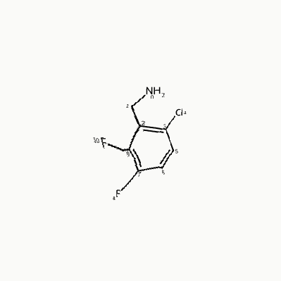 NCc1c(Cl)ccc(F)c1F